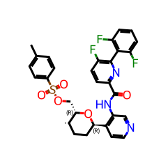 Cc1ccc(S(=O)(=O)OC[C@H]2[CH]CC[C@H](c3ccncc3NC(=O)c3ccc(F)c(-c4c(F)cccc4F)n3)O2)cc1